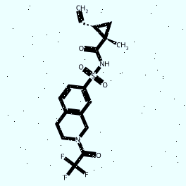 C=C[C@@H]1C[C@]1(C)C(=O)NS(=O)(=O)c1ccc2c(c1)CN(C(=O)C(F)(F)F)CC2